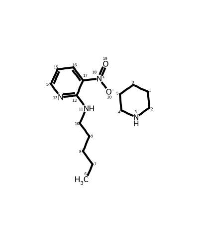 C1CCNCC1.CCCCCNc1ncccc1[N+](=O)[O-]